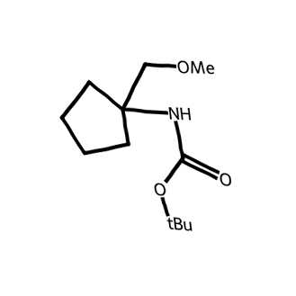 COCC1(NC(=O)OC(C)(C)C)CCCC1